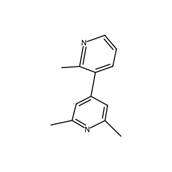 Cc1[c]c(-c2cccnc2C)cc(C)n1